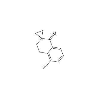 O=C1c2cccc(Br)c2CCC12CC2